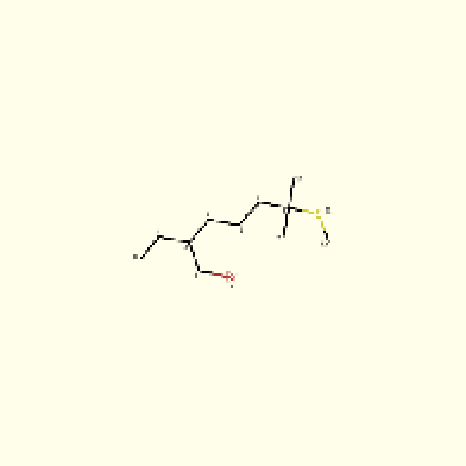 CCC(CBr)CCCC(C)(C)SC